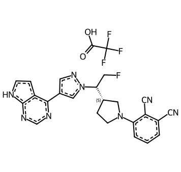 N#Cc1cccc(N2CC[C@H](C(CF)n3cc(-c4ncnc5[nH]ccc45)cn3)C2)c1C#N.O=C(O)C(F)(F)F